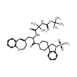 CC(C)(C)OC(=O)NC(C)(C)C(=O)NC(CC1=Cc2ccccc2OCC1)C(=O)N1CCC2(CC1)CN(S(C)(=O)=O)c1ccccc12